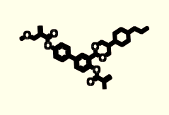 C=C(C)C(=O)Oc1ccc(-c2ccc(OC(=O)C(=C)COC)cc2)cc1C1OCC(C2CCC(CCC)CC2)CO1